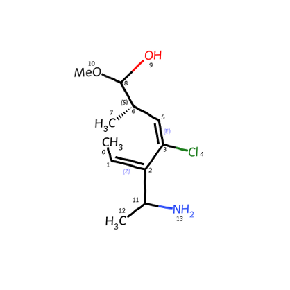 C/C=C(\C(Cl)=C/[C@H](C)C(O)OC)C(C)N